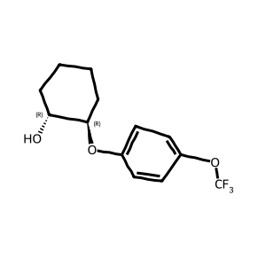 O[C@@H]1CCCC[C@H]1Oc1ccc(OC(F)(F)F)cc1